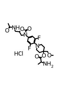 COCC1(OC(=O)C(C)N)CCN(c2c(F)cc(N3CC(CNC(C)=O)OC3=O)cc2F)CC1.Cl